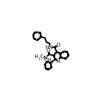 CN(C)C(=O)c1c(-c2ccccc2)nc2ccccc2c1C(=O)NCCCc1ccccc1